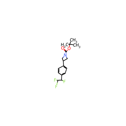 CC(C)(C)OC(=O)N1CC(c2ccc(C(F)C(F)F)cc2)C1